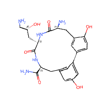 NC[C@H](O)C[C@@H]1NC(=O)[C@@H](N)Cc2cc(ccc2O)-c2cc(O)cc(c2)C[C@@H](C(N)=O)NC1=O